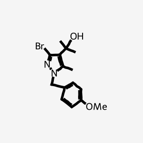 COc1ccc(Cn2nc(Br)c(C(C)(C)O)c2C)cc1